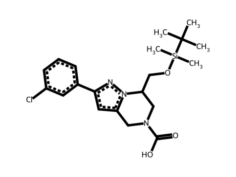 CC(C)(C)[Si](C)(C)OCC1CN(C(=O)O)Cc2cc(-c3cccc(Cl)c3)nn21